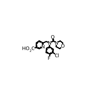 O=C(O)c1ccc(CN(C(=O)N2CCOCC2)c2ccc(F)c(Cl)c2)nc1